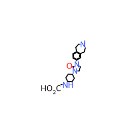 CN1CCc2ccc(N3CCN([C@H]4CC[C@H](NCC(=O)O)CC4)C3=O)cc2CC1